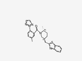 Cc1ccc(-n2nccn2)c(C(=O)N2C[C@H](Cc3nc4ccccc4s3)CC[C@H]2C)c1